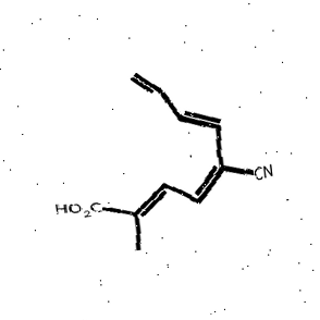 C=CC=CC(C#N)=CC=C(C)C(=O)O